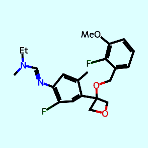 CCN(C)C=Nc1cc(C)c(C2(OCc3cccc(OC)c3F)COC2)cc1F